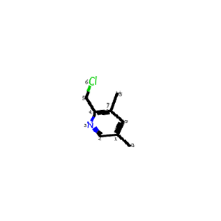 Cc1cnc(CCl)c(C)c1